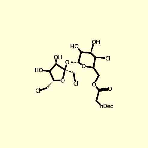 CCCCCCCCCCCC(=O)OCC1O[C@H](O[C@@]2(CCl)O[C@H](CCl)C(O)[C@H]2O)C(O)[C@@H](O)[C@H]1Cl